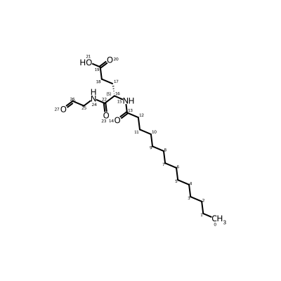 CCCCCCCCCCCCCC(=O)N[C@@H](CCC(=O)O)C(=O)NC[C]=O